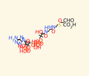 CC(C)(COP(=O)(O)OP(=O)(O)OC[C@H]1O[C@@H](n2cnc3c(N)ncnc32)[C@H](O)[C@@H]1OP(=O)(O)O)[C@@H](O)C(=O)NCCC(=O)NCCSC(=O)C(C=O)C(=O)O